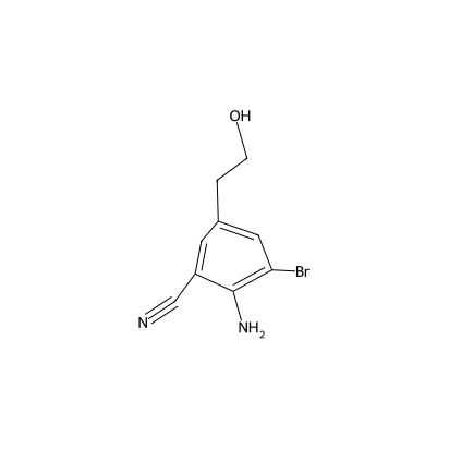 N#Cc1cc(CCO)cc(Br)c1N